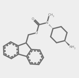 CN(C(=O)OCC1c2ccccc2-c2ccccc21)[C@H]1CC[C@H](N)CC1